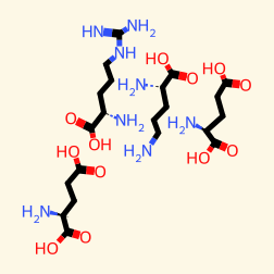 N=C(N)NCCC[C@H](N)C(=O)O.NCCC[C@H](N)C(=O)O.N[C@@H](CCC(=O)O)C(=O)O.N[C@@H](CCC(=O)O)C(=O)O